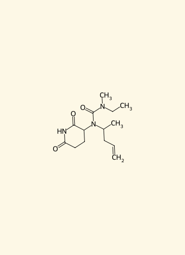 C=CCC(C)N(C(=O)N(C)CC)C1CCC(=O)NC1=O